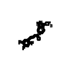 O=C(CC=Cc1cc(F)c(F)cc1F)N1CCn2c(nnc2C(F)(F)F)C1